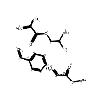 C=C(C)C(=O)OCC(CC)CCCC.C=CC(=O)OCCCC.C=Cc1ccccc1